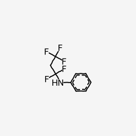 FC(F)(F)CC(F)(F)Nc1ccccc1